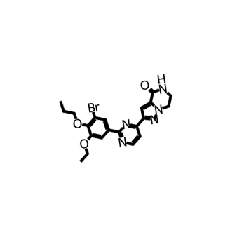 CCCOc1c(Br)cc(-c2nccc(-c3cc4n(n3)CCNC4=O)n2)cc1OCC